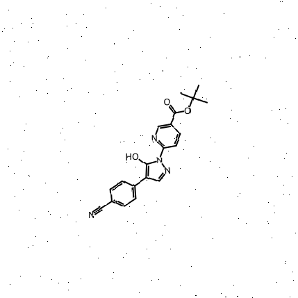 CC(C)(C)OC(=O)c1ccc(-n2ncc(-c3ccc(C#N)cc3)c2O)nc1